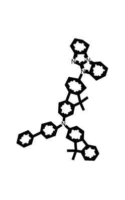 CC1(C)c2ccccc2-c2ccc(N(c3ccc(-c4ccccc4)cc3)c3ccc4c(c3)C(C)(C)c3cc(-n5c6ccccc6n6c7ccccc7nc56)ccc3-4)cc21